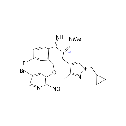 CN/C=C(/Cc1cn(CC2CC2)nc1C)C(=N)c1ccc(F)cc1COc1cc(Br)cnc1N=O